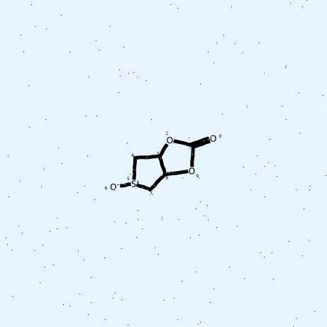 O=C1OC2C[S+]([O-])CC2O1